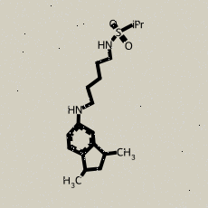 CC1CC(C)c2cc(NCCCCCNS(=O)(=O)C(C)C)ccc21